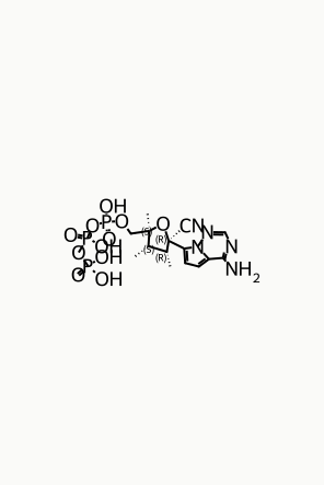 C[C@@H]1[C@H](C)[C@@](C)(COP(=O)(O)OP(=O)(O)OP(=O)(O)O)O[C@@]1(C#N)c1ccc2c(N)ncnn12